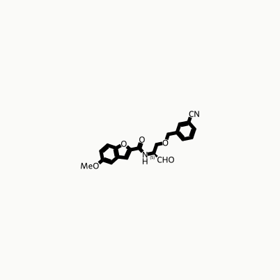 COc1ccc2oc(C(=O)N[C@H](C=O)COCc3cccc(C#N)c3)cc2c1